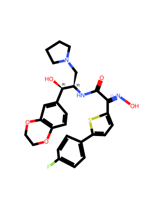 O=C(N[C@H](CN1CCCC1)[C@H](O)c1ccc2c(c1)OCCO2)/C(=N/O)c1ccc(-c2ccc(F)cc2)s1